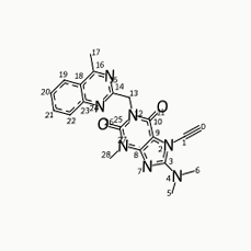 C#Cn1c(N(C)C)nc2c1c(=O)n(Cc1nc(C)c3ccccc3n1)c(=O)n2C